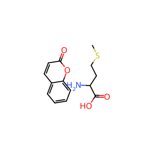 CSCCC(N)C(=O)O.O=c1ccc2ccccc2o1